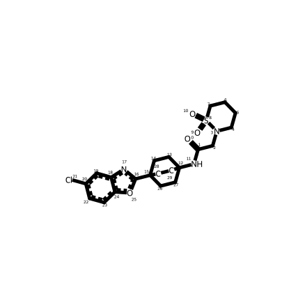 O=C(CN1CCCCS1(=O)=O)NC12CCC(c3nc4cc(Cl)ccc4o3)(CC1)CC2